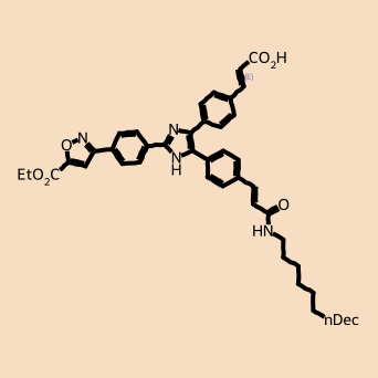 CCCCCCCCCCCCCCCCNC(=O)C=Cc1ccc(-c2[nH]c(-c3ccc(-c4cc(C(=O)OCC)on4)cc3)nc2-c2ccc(/C=C/C(=O)O)cc2)cc1